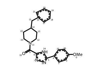 COc1ccc(-c2nnc(C(=O)N3CCC(Cc4ccccc4)CC3)[nH]2)cc1